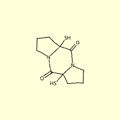 O=C1N2CCCC2(S)C(=O)N2CCCC12S